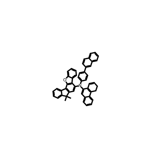 CC1(C)c2ccccc2-c2c1cc(N(c1ccc(-c3ccc4ccccc4c3)cc1)c1cc3ccccc3c3c1C=CCC3)c1c2oc2ccccc21